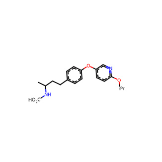 CC(CCc1ccc(Oc2ccc(OC(C)C)nc2)cc1)NC(=O)O